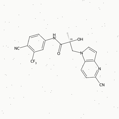 C[C@](O)(Cn1ccc2nc(C#N)ccc21)C(=O)Nc1ccc(C#N)c(C(F)(F)F)c1